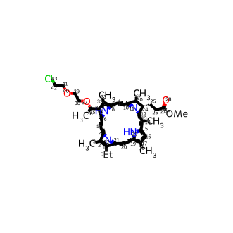 CCC1=C(C)c2cc3[nH]c(cc4nc(c(C)c5cc(C)c(cc1n2)[nH]5)[C@@H](CCC(=O)OC)C4C)c(C)c3C(C)OCCOCCCl